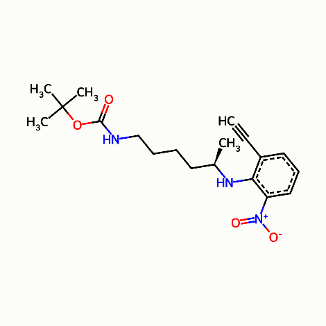 C#Cc1cccc([N+](=O)[O-])c1N[C@H](C)CCCCNC(=O)OC(C)(C)C